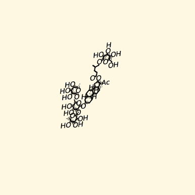 CC(=O)[C@H]1[C@@H](OC(=O)CCC(C)CO[C@@H]2O[C@H](CO)[C@@H](O)[C@H](O)[C@H]2O)C[C@H]2[C@@H]3CC[C@H]4C[C@@H](O[C@@H]5O[C@H](CO[C@@H]6O[C@@H](C)[C@H](O)[C@@H](O)[C@H]6O)[C@@H](O)[C@H](O)[C@H]5O[C@@H]5O[C@@H](C)[C@H](O)[C@@H](O)[C@H]5O)CC[C@]4(C)[C@H]3CC[C@@]21C